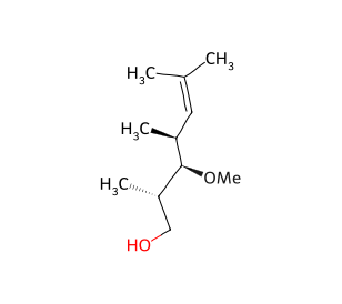 CO[C@H]([C@@H](C)C=C(C)C)[C@@H](C)CO